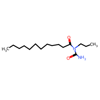 CCCCCCCCCCCC(=O)N(CCC)C(N)=O